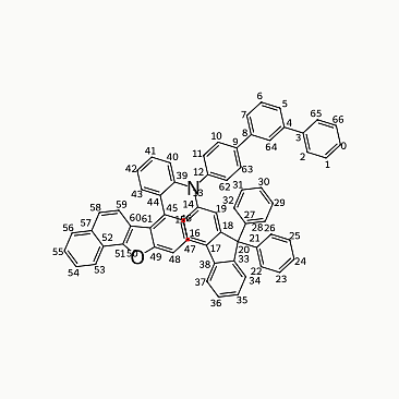 c1ccc(-c2cccc(-c3ccc(N(c4ccc5c(c4)C(c4ccccc4)(c4ccccc4)c4ccccc4-5)c4ccccc4-c4cccc5oc6c7ccccc7ccc6c45)cc3)c2)cc1